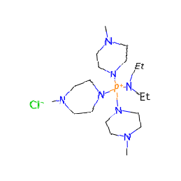 CCN(CC)[P+](N1CCN(C)CC1)(N1CCN(C)CC1)N1CCN(C)CC1.[Cl-]